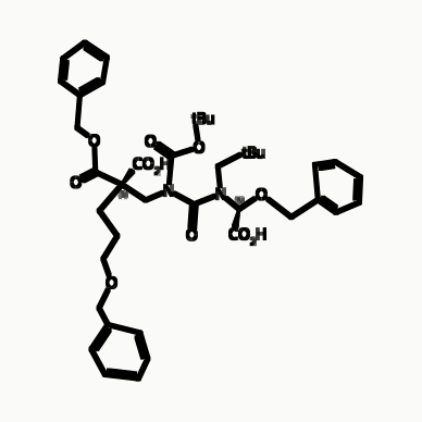 CC(C)(C)CN(C(=O)N(C[C@@](CCCOCc1ccccc1)(C(=O)O)C(=O)OCc1ccccc1)C(=O)OC(C)(C)C)[C@@H](OCc1ccccc1)C(=O)O